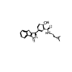 CN(C)CCNC(=O)c1cc(-c2n[nH]c3c2Cc2ccccc2-3)ccc1O